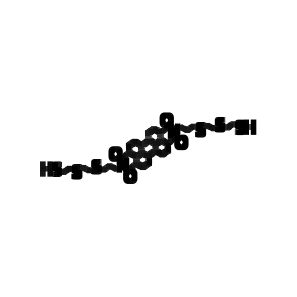 O=C1c2ccc3c4ccc5c6c(ccc(c7ccc(c2c37)C(=O)N1CCCSCCSCCS)c64)C(=O)N(CCCSCCSCCS)C5=O